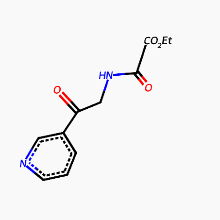 CCOC(=O)C(=O)NCC(=O)c1cccnc1